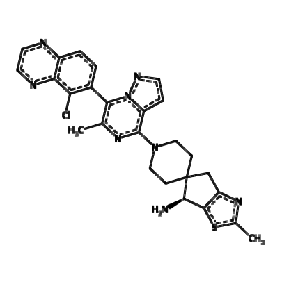 Cc1nc2c(s1)[C@@H](N)C1(CCN(c3nc(C)c(-c4ccc5nccnc5c4Cl)n4nccc34)CC1)C2